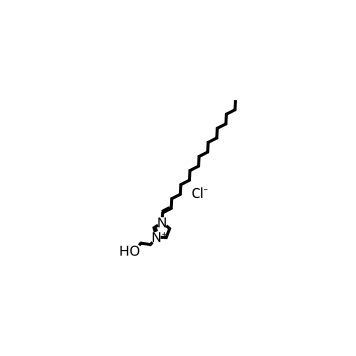 CCCCCCCCCCCCCCCC=CN1C=[N+](CCO)CC1.[Cl-]